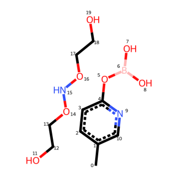 Cc1ccc(OB(O)O)nc1.OCCONOCCO